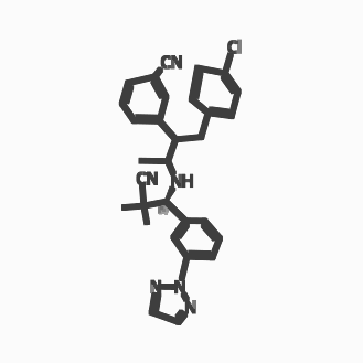 CC(N[C@@H](c1cccc(-n2nccn2)c1)C(C)(C)C#N)C(Cc1ccc(Cl)cc1)c1cccc(C#N)c1